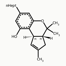 CCCCCCCc1cc(O)c2c(c1)OC(C)(C)[C@@H]1CC(C)=C[C@@H]21